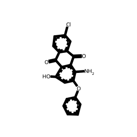 Nc1c(Oc2ccccc2)cc(O)c2c1C(=O)c1cc(Cl)ccc1C2=O